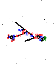 CCCCCCCCCCC(COCC(COCCC(=O)NCC(CCCCCCCCC)OC[C@H]1OC[C@H](Nc2nccc(Cl)c2CC(F)(F)F)[C@@H](O)[C@H]1O)NC(=O)COCCOCCOCCNc1ccc([N+](=O)[O-])cc1[N+](=O)[O-])C(N)=O